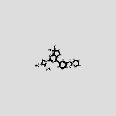 C[C@H]1[C@H](O)CN1c1nc(-c2cccc(N=S3(=O)CCCC3)c2)c2c(n1)C(F)(F)CC2